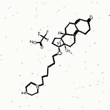 C[C@]12CCC3=C4CCC(=O)C=C4CC[C@H]3[C@@H]1CC[C@@H]2OCCCCCCN1CCNCC1.O=C(O)C(F)(F)F